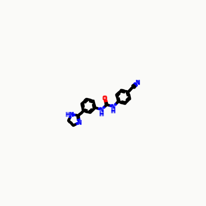 N#Cc1ccc(NC(=O)Nc2cccc(C3=NCCN3)c2)cc1